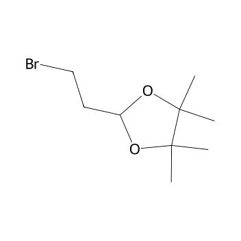 CC1(C)OC(CCBr)OC1(C)C